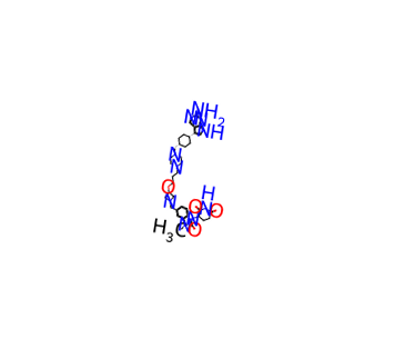 Cn1c(=O)n(C2CCC(=O)NC2=O)c2ccc(CN3CC(OCCCN4CCN(C[C@H]5CC[C@@H](c6c[nH]c7nc(N)ncc76)CC5)CC4)C3)cc21